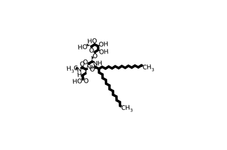 CCCCCCCCCCCCCCC(CCCCCCCCCCCCCC)C(=O)N[C@@H](CO[C@H]1O[C@H](CO)[C@@H](O)[C@H](O)[C@@H]1O)C(=O)N[C@@H](CCC(=O)O)C(=O)NC